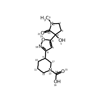 CN1CCC(O)(c2cc(C3CCCN(C(=O)O)C3)no2)C1=O